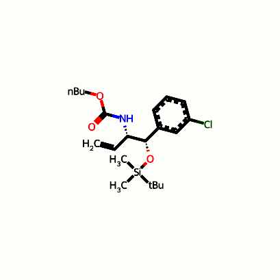 C=C[C@H](NC(=O)OCCCC)[C@@H](O[Si](C)(C)C(C)(C)C)c1cccc(Cl)c1